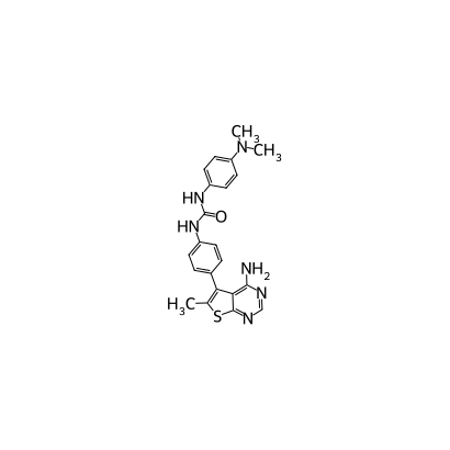 Cc1sc2ncnc(N)c2c1-c1ccc(NC(=O)Nc2ccc(N(C)C)cc2)cc1